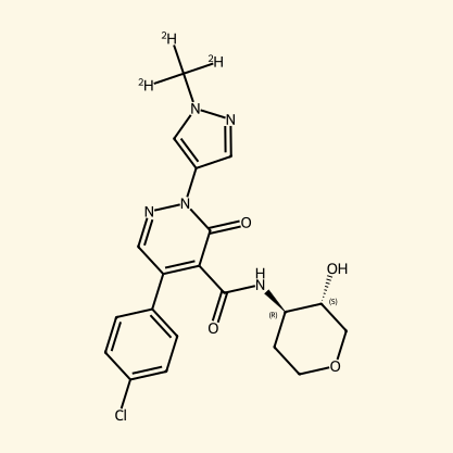 [2H]C([2H])([2H])n1cc(-n2ncc(-c3ccc(Cl)cc3)c(C(=O)N[C@@H]3CCOC[C@H]3O)c2=O)cn1